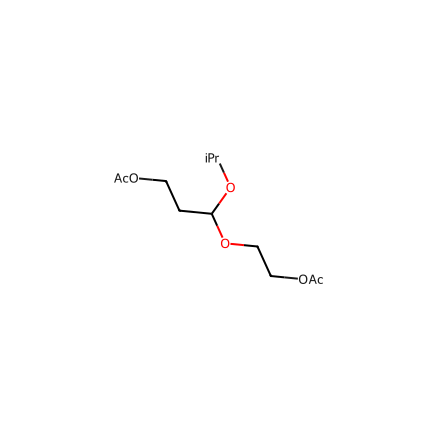 CC(=O)OCCOC(CCOC(C)=O)OC(C)C